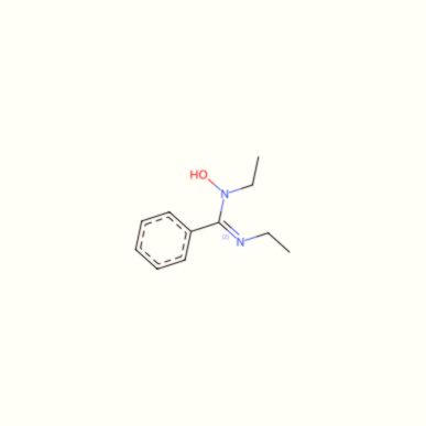 CC/N=C(/c1ccccc1)N(O)CC